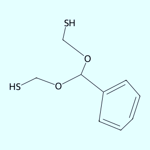 SCOC(OCS)c1ccccc1